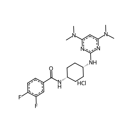 CN(C)c1cc(N(C)C)nc(N[C@H]2CC[C@@H](NC(=O)c3ccc(F)c(F)c3)CC2)n1.Cl